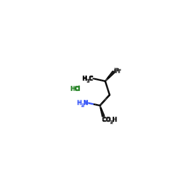 CC(C)[C@H](C)C[C@H](N)C(=O)O.Cl